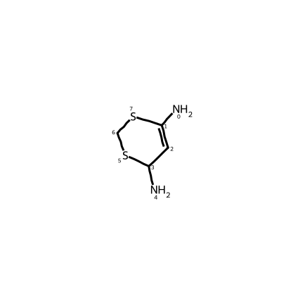 NC1=CC(N)SCS1